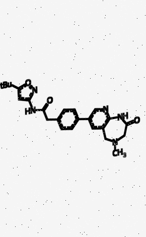 CN1CC(=O)Nc2ncc(-c3ccc(CC(=O)Nc4cc(C(C)(C)C)on4)cc3)cc2C1